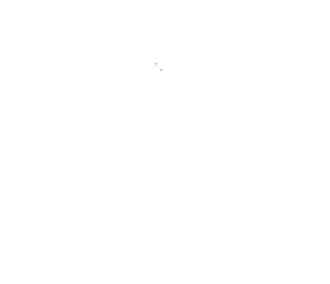 C[Si](Cl)(Cl)CCC#N